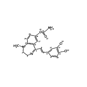 CN1CCN=C(C=Cc2ccc(Cl)c(Cl)c2)c2cc(OC(N)=O)ccc21